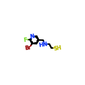 Fc1ncc(CNCCS)cc1Br